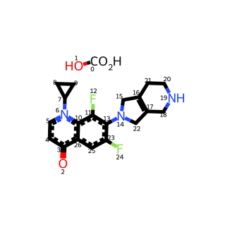 O=C(O)O.O=c1ccn(C2CC2)c2c(F)c(N3CC4=C(CNCC4)C3)c(F)cc12